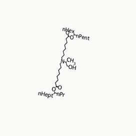 CCCCCCCC(CCC)OC(=O)CCCCCCCN(CCCCCCCC(=O)OC(CCCCC)CCCCCC)C(C)CO